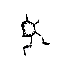 C=CSc1c(/N=C/C)ccc(C)c1F